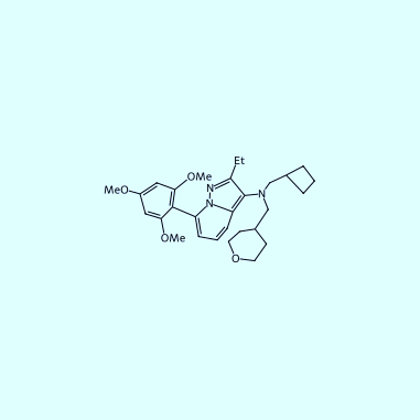 CCc1nn2c(-c3c(OC)cc(OC)cc3OC)cccc2c1N(CC1CCC1)CC1CCOCC1